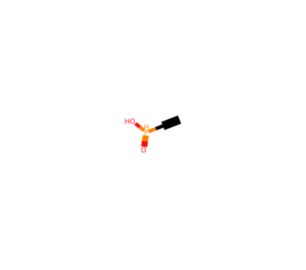 C#C[PH](=O)O